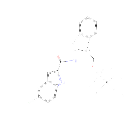 CC(C)(C)[Si](C)(C)OC[C@@H]1c2ccccc2C[C@H]1NC(=O)c1cc2cc(Cl)ccc2[nH]1